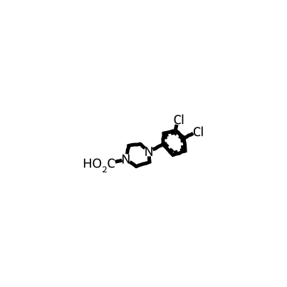 O=C(O)N1CCN(c2ccc(Cl)c(Cl)c2)CC1